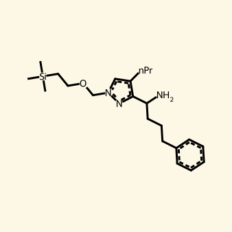 CCCc1cn(COCC[Si](C)(C)C)nc1C(N)CCCc1ccccc1